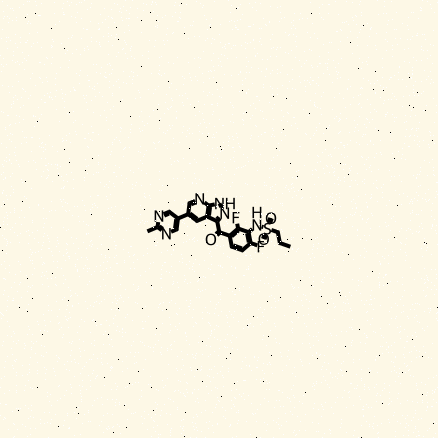 CCCS(=O)(=O)Nc1c(F)ccc(C(=O)c2n[nH]c3ncc(-c4cnc(C)nc4)cc23)c1F